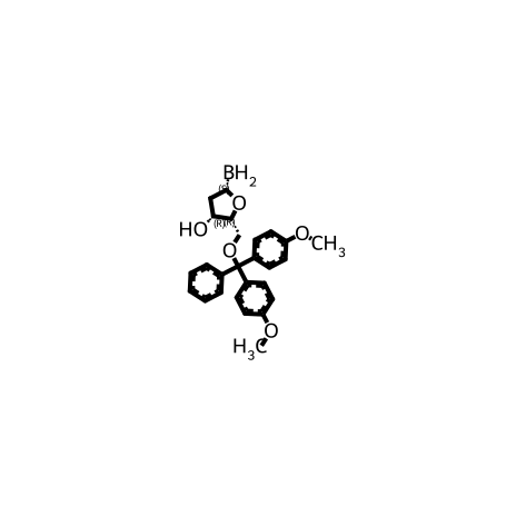 B[C@H]1C[C@@H](O)[C@@H](COC(c2ccccc2)(c2ccc(OC)cc2)c2ccc(OC)cc2)O1